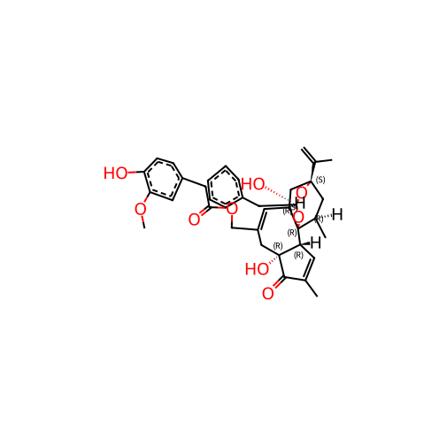 C=C(C)[C@@]12C[C@@H](C)[C@@]3(O[C@@](O)(Cc4ccccc4)O1)[C@@H](C=C(COC(=O)Cc1ccc(O)c(OC)c1)C[C@]1(O)C(=O)C(C)=C[C@@H]31)C2